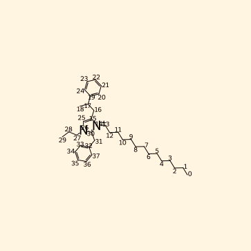 CCCCCCCCCCCCCC[n+]1c(CC(C)c2ccccc2)cn(CCC)c1Cc1ccccc1